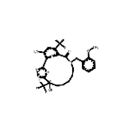 COc1ccccc1CN1CCCCC[C@](O)(C(F)(F)F)c2nnc(o2)-c2nc(c(C(F)(F)F)cc2N)C1=O